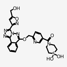 O=C(c1ccc(COc2nn3c(-c4cc(CO)on4)nnc3c3ccccc23)nc1)N1CCS(O)(O)CC1